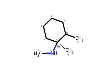 CN[C@@]1(C)CCCCC1C